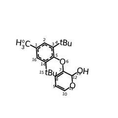 Cc1cc(C(C)(C)C)c(OC2=CC=COC2O)c(C(C)(C)C)c1